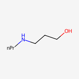 [CH2]CCNCCCO